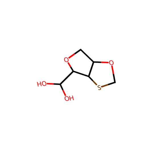 OC(O)C1OCC2OCSC21